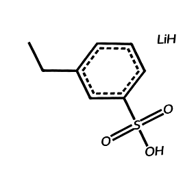 CCc1cccc(S(=O)(=O)O)c1.[LiH]